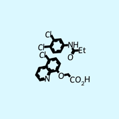 CCC(=O)Nc1ccc(Cl)c(Cl)c1.O=C(O)COc1ccc(Cl)c2cccnc12